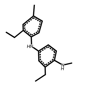 CCc1cc(Nc2ccc(C)cc2CC)ccc1NC